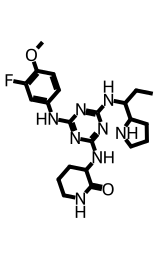 CCC(Nc1nc(Nc2ccc(OC)c(F)c2)nc(NC2CCCNC2=O)n1)C1CCCN1